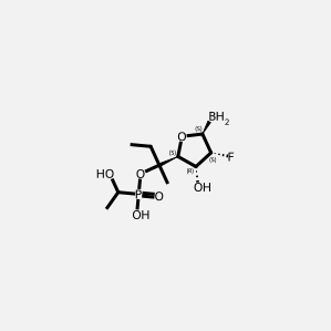 B[C@@H]1O[C@H](C(C)(CC)OP(=O)(O)C(C)O)[C@@H](O)[C@H]1F